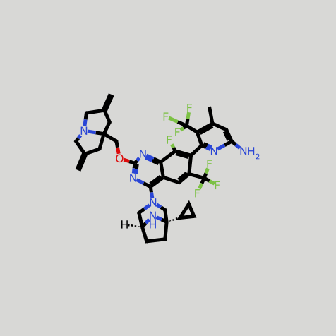 C=C1CN2CC(=C)CC2(COc2nc(N3C[C@@H]4CC[C@](C5CC5)(C3)N4)c3cc(C(F)(F)F)c(-c4nc(N)cc(C)c4C(F)(F)F)c(F)c3n2)C1